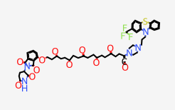 O=C=C(CCC(=O)CCC(=O)CCC(=O)CCC(=O)CCC(=O)CCOc1cccc2c1C(=O)N(C1CCC(=O)NC1=O)C2=O)N1CCN(CCCN2c3ccccc3Sc3ccc(C(F)(F)F)cc32)CC1